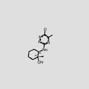 Cc1nc(N[C@@H]2CCCC[C@@]2(C)O)nnc1Cl